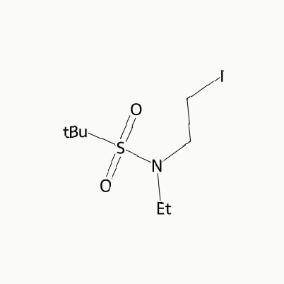 CCN(CCI)S(=O)(=O)C(C)(C)C